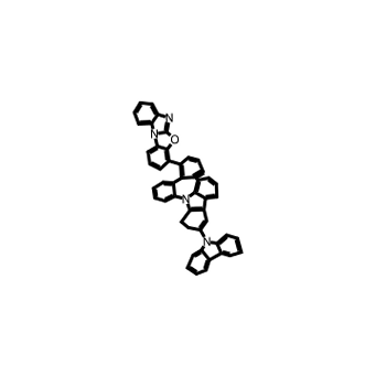 c1ccc(-c2cccc3c2oc2nc4ccccc4n23)c(-c2ccccc2-n2c3c(c4ccccc42)C=C(n2c4ccccc4c4ccccc42)CC3)c#1